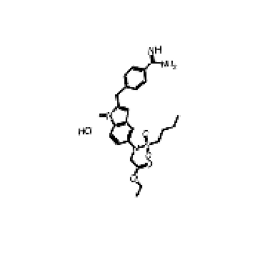 CCCCS(=O)(=O)N(CC(=O)OCC)c1ccc2c(c1)cc(Cc1ccc(C(=N)N)cc1)n2C.Cl